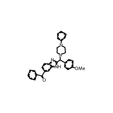 COc1ccc(C(c2nc3ccc(C(=O)c4ccccc4)cc3[nH]2)N2CCN(c3ccccc3)CC2)cc1